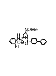 CCC1C=CC=CC1(O)NC(=O)[C@@H]1CC(=NOC)CN1C(=O)c1ccc(-c2ccccc2)cc1